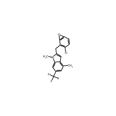 Cc1cc(C(F)(F)F)cc2c1cc(Cc1c(Cl)ccc3c1O3)n2C